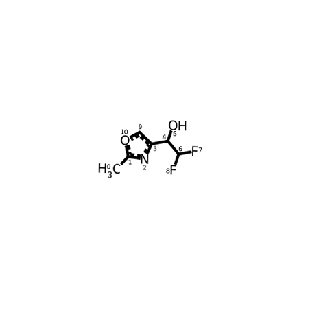 Cc1nc(C(O)C(F)F)co1